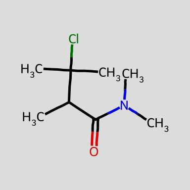 CC(C(=O)N(C)C)C(C)(C)Cl